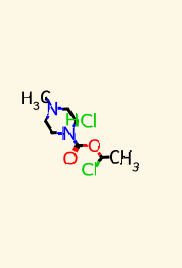 CC(Cl)OC(=O)N1CCN(C)CC1.Cl